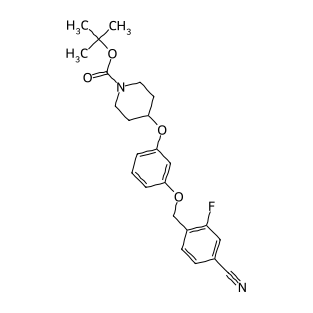 CC(C)(C)OC(=O)N1CCC(Oc2cccc(OCc3ccc(C#N)cc3F)c2)CC1